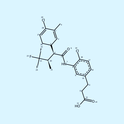 CC1=CC([C@@H](C(=O)Nc2cc(CCC(=O)O)ccc2Cl)[C@@H](C)C(F)(F)F)CC=C1Cl